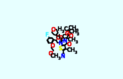 COCCOc1ccc(F)cc1C(Cn1c(=O)n(C(C)(C)C(=O)OC(C)(C)C)c(=O)c2c(C)c(C#N)sc21)OC1CCOCC1